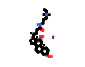 CC[N+](C)(C)CCCNC(=O)CC[C@@H](C)[C@H]1CCC2C3CCC4C[C@H](O)CC[C@]4(C)C3C[C@H](O)[C@@]21C.[I-]